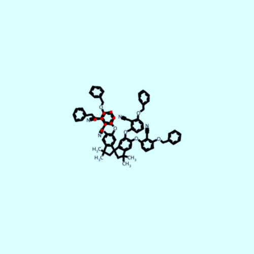 CC1(C)CC2(CC(C)(C)c3cc(Oc4cccc(OCc5ccccc5)c4C#N)c(Oc4cccc(OCc5ccccc5)c4C#N)cc32)c2cc(Oc3cccc(OCc4ccccc4)c3C#N)c(Oc3cccc(OCc4ccccc4)c3C#N)cc21